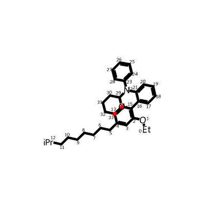 CCOc1cc(CCCCCCCC(C)C)ccc1-c1ccccc1N(c1ccccc1)C1CCCCO1